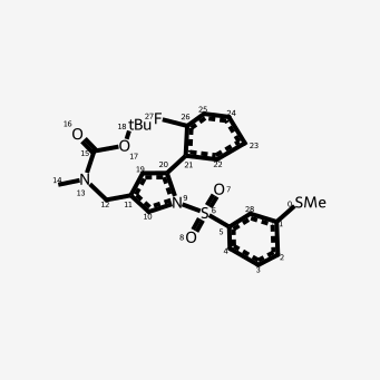 CSc1cccc(S(=O)(=O)n2cc(CN(C)C(=O)OC(C)(C)C)cc2-c2ccccc2F)c1